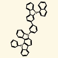 c1ccc(-n2c3ccccc3c3ccc4c(c5ccccc5n4-c4cccc(-c5ccc6c7ccccc7n(-c7cccc8ccccc78)c6c5)c4)c32)cc1